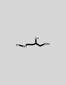 CNCC(O)CCNC(C)C